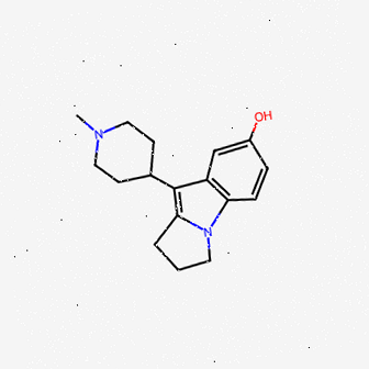 CN1CCC(c2c3n(c4ccc(O)cc24)CCC3)CC1